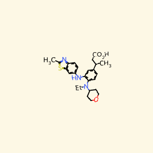 CCN(c1ccc(C(C)CC(=O)O)cc1Nc1ccc2nc(C)sc2c1)C1CCOCC1